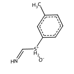 Cc1cccc([SH2+]([O-])C=N)c1